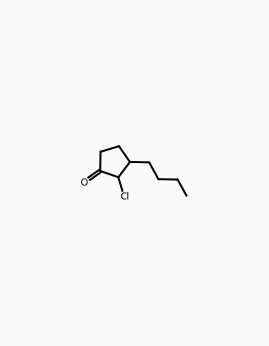 CCCCC1CCC(=O)C1Cl